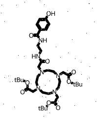 CC(C)(C)OC(=O)CN1CCN(CC(=O)NCCNC(=O)c2ccc(O)cc2)CCN(CC(=O)OC(C)(C)C)CCN(CC(=O)OC(C)(C)C)CC1